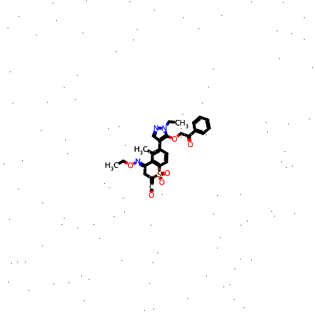 CCON=C1CC(=C=O)S(=O)(=O)c2ccc(-c3cnn(CC)c3OCC(=O)c3ccccc3)c(C)c21